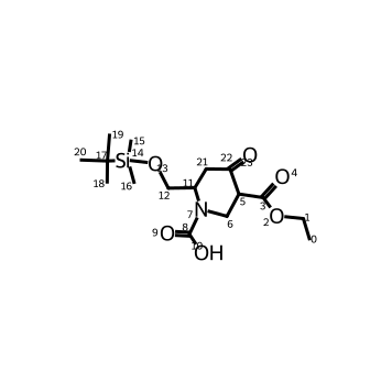 CCOC(=O)C1CN(C(=O)O)C(CO[Si](C)(C)C(C)(C)C)CC1=O